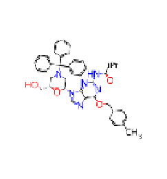 Cc1ccc(COc2nc(NC(=O)C(C)C)nc3c2ncn3[C@H]2CN(C(c3ccccc3)(c3ccccc3)c3ccccc3)C[C@@H](CO)O2)cc1